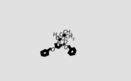 CC(C)(C)OC(=O)N1C[C@@H](OCc2ccccc2)C[C@H]1C(=O)OCc1ccccc1